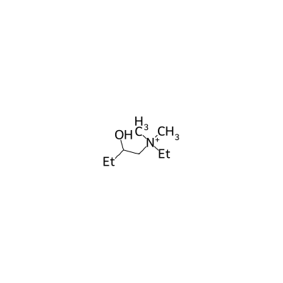 CCC(O)C[N+](C)(C)CC